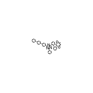 c1ccc(-c2ccc(-c3ccc(-c4nc(-c5ccccc5)nc(-c5cccc6c5-c5ccccc5C65c6ccccc6Sc6ccccc65)n4)cc3)cc2)cc1